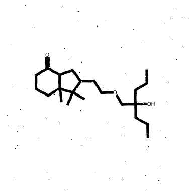 CCCC(O)(CCC)COCCC1CC2C(=O)CCCC2(C)C1(C)C